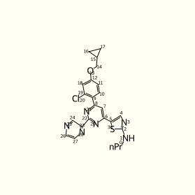 CCCNc1ncc(-c2cc(-c3ccc(OCC4CC4)cc3Cl)nc(-c3cnccn3)n2)s1